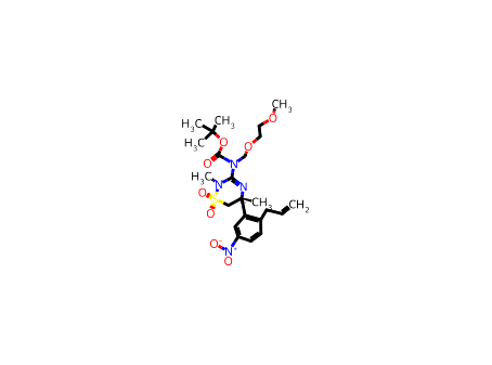 C=CCc1ccc([N+](=O)[O-])cc1[C@]1(C)CS(=O)(=O)N(C)C(N(COCCOC)C(=O)OC(C)(C)C)=N1